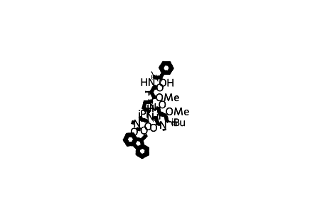 CC[C@H](C)C(C(CC(=O)N1CCC[C@H]1C(OC)[C@@H](C)C(=O)N[C@H](C)[C@@H](O)c1ccccc1)OC)N(C)C(=O)[C@@H](NC(=O)C(C(C)C)N(C)C(=O)OCC1c2ccccc2-c2ccccc21)C(C)C